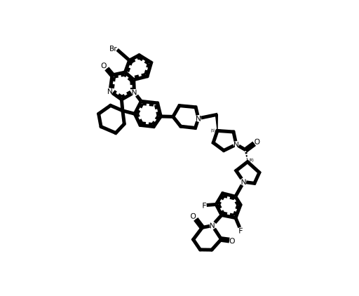 O=C([C@@H]1CCN(c2cc(F)c(N3C(=O)CCCC3=O)c(F)c2)C1)N1CC[C@@H](CN2CCC(c3ccc4c(c3)-n3c(nc(=O)c5c(Br)cccc53)C43CCCCC3)CC2)C1